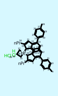 CCCC1=Cc2c(-c3ccc(C)cc3)cccc2[CH]1[Hf]1([CH]2C(CCC)=Cc3c(-c4ccc(C)cc4)cccc32)[CH2]C[CH2]1.Cl.Cl